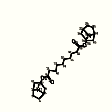 CN1C2CCC1CC(OC(=O)CCCCCCCCC(=O)OC1CC3CCC(C1)N3C)C2